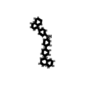 c1ccc2c(-c3ccc(Nc4ccc(-c5ccc(-c6cccc7ccccc67)cc5)cc4)cc3)cccc2c1